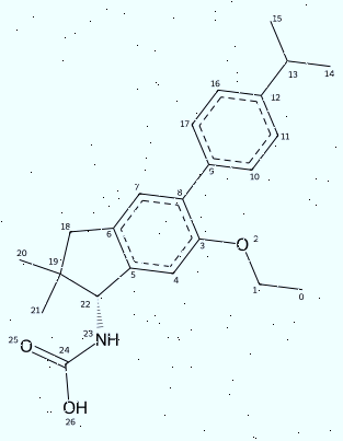 CCOc1cc2c(cc1-c1ccc(C(C)C)cc1)CC(C)(C)[C@H]2NC(=O)O